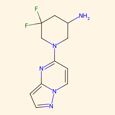 NC1CN(c2ccn3nccc3n2)CC(F)(F)C1